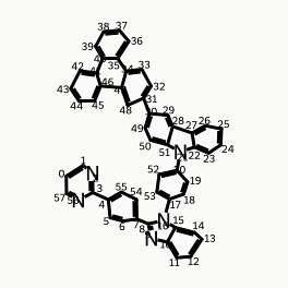 c1cnc(-c2ccc(-c3nc4ccccc4n3-c3ccc(-n4c5ccccc5c5cc(-c6ccc7c8ccccc8c8ccccc8c7c6)ccc54)cc3)cc2)nc1